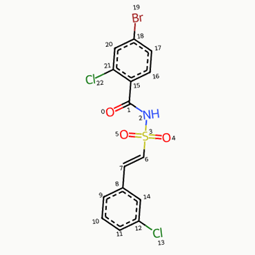 O=C(NS(=O)(=O)C=Cc1cccc(Cl)c1)c1ccc(Br)cc1Cl